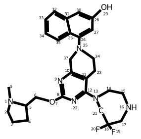 CN1CCCC1COc1nc2c(c(N3CCNCC(F)(F)C3)n1)CCN(c1cc(O)cc3ccccc13)C2